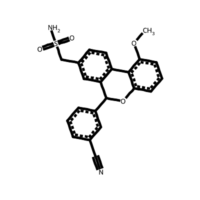 COc1cccc2c1-c1ccc(CS(N)(=O)=O)cc1C(c1cccc(C#N)c1)O2